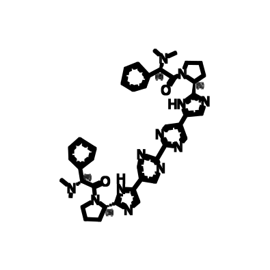 CN(C)[C@@H](C(=O)N1CCC[C@H]1c1ncc(-c2cnc(-c3ncc(-c4cnc([C@@H]5CCCN5C(=O)[C@@H](c5ccccc5)N(C)C)[nH]4)cn3)nc2)[nH]1)c1ccccc1